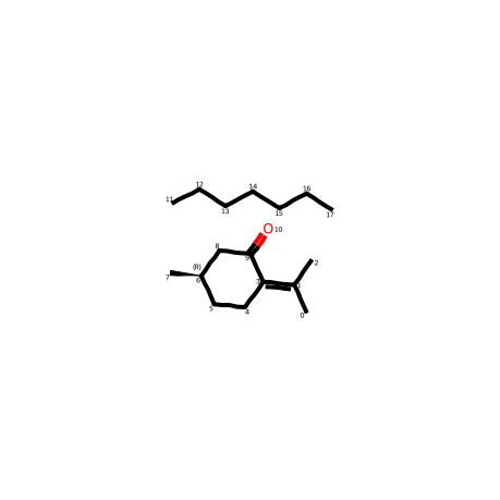 CC(C)=C1CC[C@@H](C)CC1=O.CCCCCCC